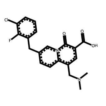 CN(C)Cc1cc(C(=O)O)c(=O)n2cc(Cc3cccc(Cl)c3F)ccc12